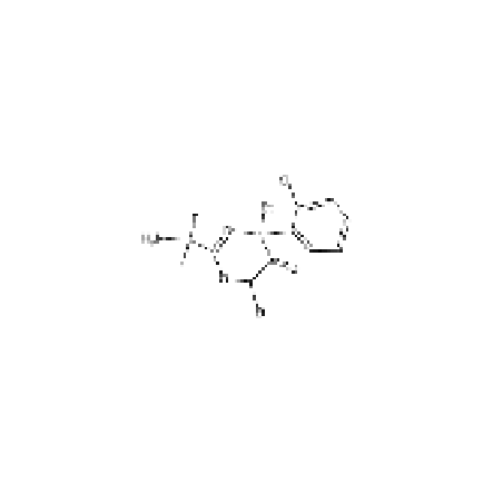 CCC1OC(C(N)(F)F)=NC(CC)(c2ccccc2Cl)C1=O